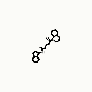 O=C(CCCC(=O)N1CCCC2CCCCC21)NC1CCc2ccccc21